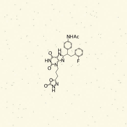 CC(=O)Nc1ccc(C(Cc2ccccc2F)c2nc3c([nH]2)c(=O)[nH]c(=O)n3CCCc2n[nH]c(=O)o2)cc1